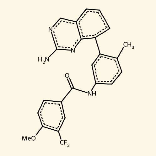 COc1ccc(C(=O)Nc2ccc(C)c(-c3cccc4cnc(N)nc34)c2)cc1C(F)(F)F